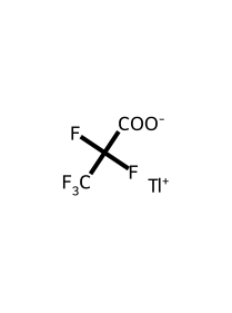 O=C([O-])C(F)(F)C(F)(F)F.[Tl+]